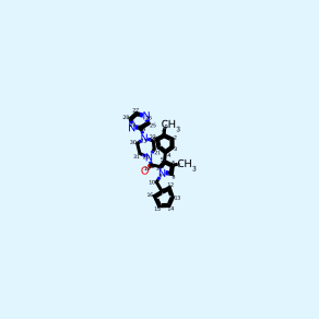 Cc1ccc(-c2c(C)cn(Cc3ccccc3)c2C(=O)N2CCN(c3cnccn3)CC2)cc1